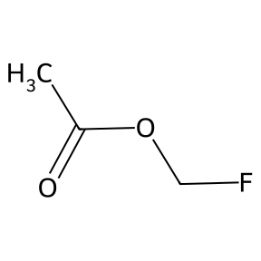 CC(=O)OCF